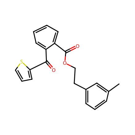 Cc1cccc(CCOC(=O)c2ccccc2C(=O)c2cccs2)c1